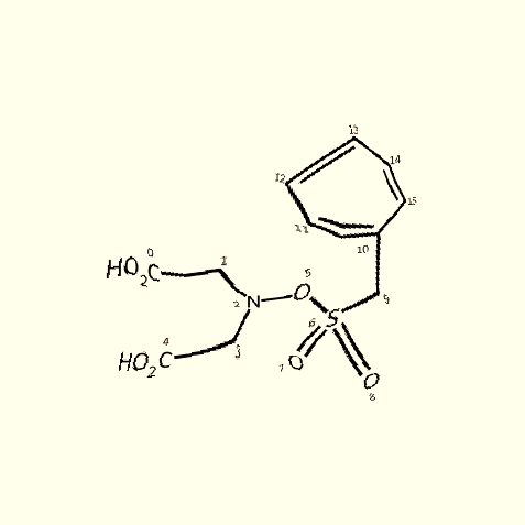 O=C(O)CN(CC(=O)O)OS(=O)(=O)Cc1ccccc1